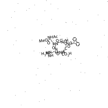 COC(=O)[C@H](CCCC[C@@H]1NC(=O)C2CCCN2C(=O)[C@@H](NC(=O)OCC2c3ccccc3-c3ccccc32)CCCC[C@@H](C(=O)O)NC(=O)[C@H](CCCNC(=N)N)NC1=O)NC(C)=O